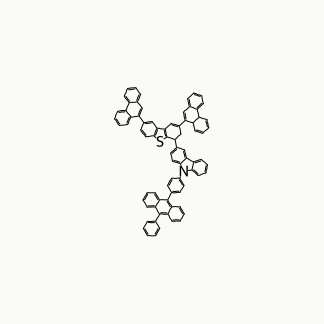 C1=CC2C(C3=Cc4c(sc5ccc(-c6cc7ccccc7c7ccccc67)cc45)C(c4ccc5c(c4)c4ccccc4n5-c4ccc(-c5c6ccccc6c(-c6ccccc6)c6ccccc56)cc4)C3)=Cc3ccccc3C2C=C1